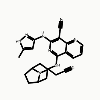 Cc1cc(Nc2nc(NC3CC4CCC(C3)N4CCC#N)c3cccnc3c2C#N)n[nH]1